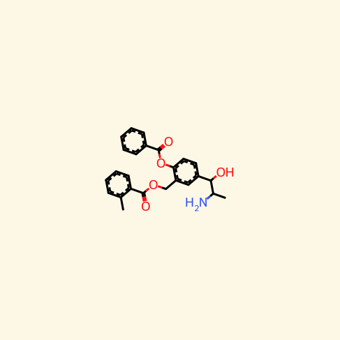 Cc1ccccc1C(=O)OCc1cc(C(O)C(C)N)ccc1OC(=O)c1ccccc1